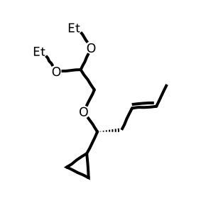 C/C=C/C[C@@H](OCC(OCC)OCC)C1CC1